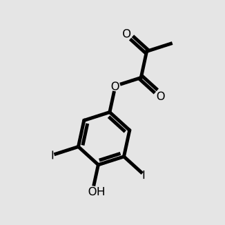 CC(=O)C(=O)Oc1cc(I)c(O)c(I)c1